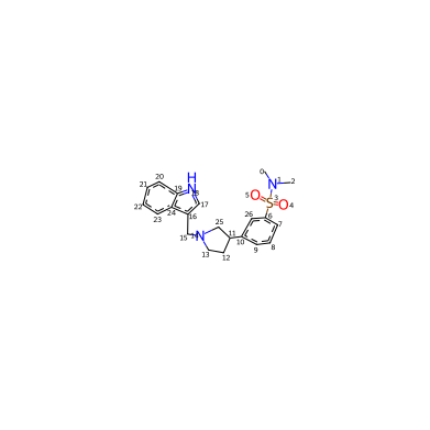 CN(C)S(=O)(=O)c1cccc(C2CCN(Cc3c[nH]c4ccccc34)C2)c1